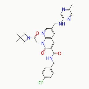 Cc1cnc(NCc2cnc3c(c2)cc(C(=O)NCc2ccc(Cl)cc2)c(=O)n3CC(=O)N2CC(C)(C)C2)cn1